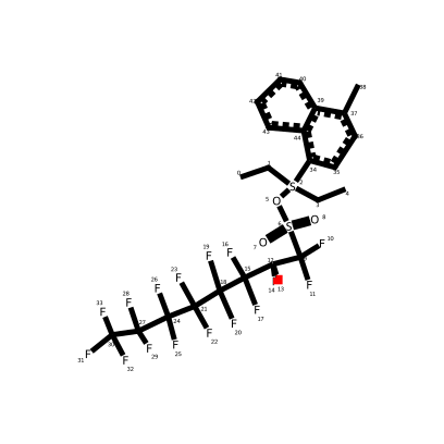 CCS(CC)(OS(=O)(=O)C(F)(F)C(F)(F)C(F)(F)C(F)(F)C(F)(F)C(F)(F)C(F)(F)C(F)(F)F)c1ccc(C)c2ccccc12